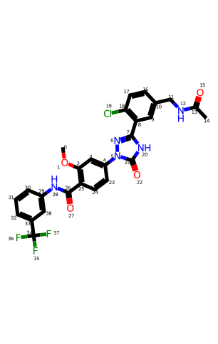 COc1cc(-n2nc(-c3cc(CNC(C)=O)ccc3Cl)[nH]c2=O)ccc1C(=O)Nc1cccc(C(F)(F)F)c1